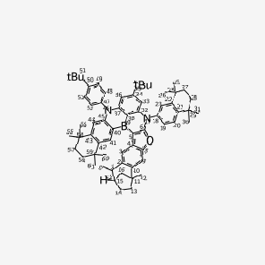 CC1c2cc3c4c(oc3cc2C2(C)CC[C@H]1C2)N(c1ccc2c(c1)C(C)(C)CCC2(C)C)c1cc(C(C)(C)C)cc2c1B4c1cc3c(cc1N2c1ccc(C(C)(C)C)cc1)C(C)(C)CCC3(C)C